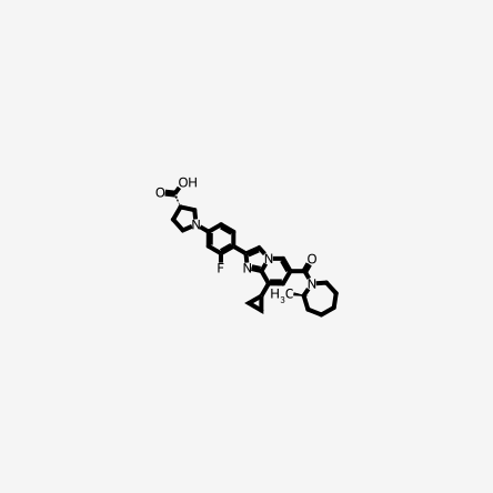 C[C@@H]1CCCCCN1C(=O)c1cc(C2CC2)c2nc(-c3ccc(N4CC[C@H](C(=O)O)C4)cc3F)cn2c1